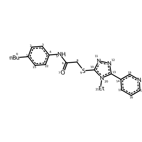 CCCCc1ccc(NC(=O)CSc2nnc(-c3cccnc3)n2CC)cc1